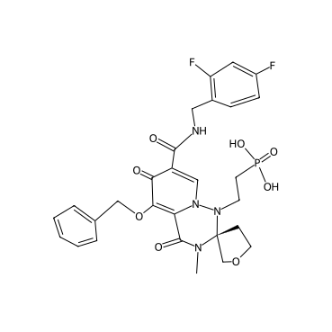 CN1C(=O)c2c(OCc3ccccc3)c(=O)c(C(=O)NCc3ccc(F)cc3F)cn2N(CCP(=O)(O)O)[C@@]12CCOC2